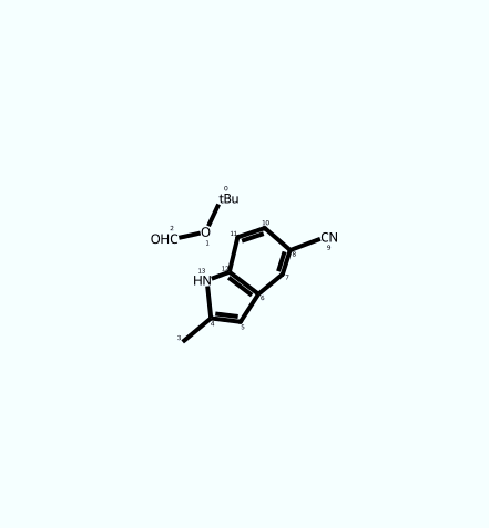 CC(C)(C)OC=O.Cc1cc2cc(C#N)ccc2[nH]1